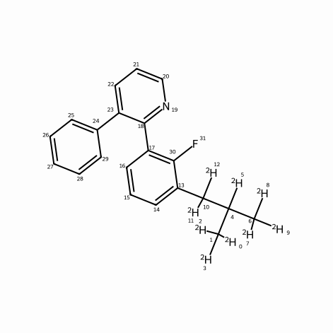 [2H]C([2H])([2H])C([2H])(C([2H])([2H])[2H])C([2H])([2H])c1cccc(-c2ncccc2-c2ccccc2)c1F